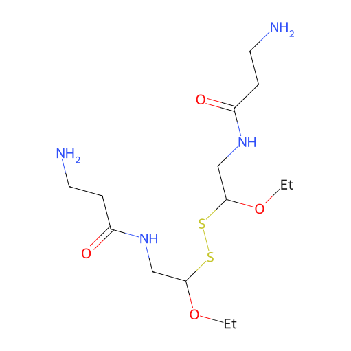 CCOC(CNC(=O)CCN)SSC(CNC(=O)CCN)OCC